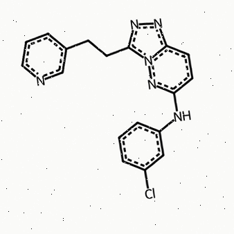 Clc1cccc(Nc2ccc3nnc(CCc4cccnc4)n3n2)c1